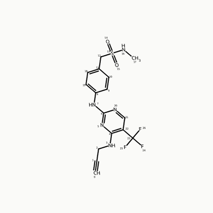 C#CCNc1nc(Nc2ccc(CS(=O)(=O)NC)cc2)ncc1C(F)(F)F